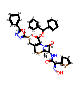 O=C(OC(c1ccccc1)c1ccccc1)C1=C(CSc2nnc(-c3ccccc3)o2)CS[C@@H]2[C@H](NC(=O)/C(=N/O)c3cccs3)C(=O)N12